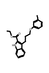 CCOC(=O)c1[nH]c2ccccc2c1CCCOc1cccc(C)c1